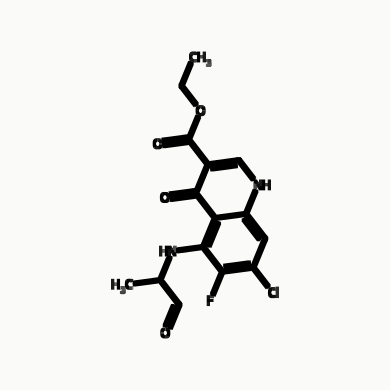 CCOC(=O)c1c[nH]c2cc(Cl)c(F)c(NC(C)C=O)c2c1=O